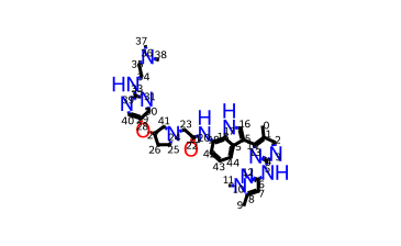 Cc1cnc(Nc2cc(C)n(C)n2)nc1-c1c[nH]c2c(NC(=O)CN3CCC(Oc4cnc(NCCN(C)C)nc4)C3)cccc12